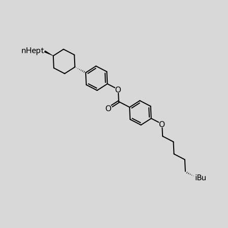 CCCCCCC[C@H]1CC[C@H](c2ccc(OC(=O)c3ccc(OCCCCC[C@@H](C)CC)cc3)cc2)CC1